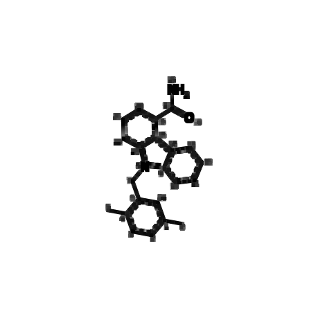 Cc1ccc(C)c(Cn2c3ccc[c]c3c3c(C(N)=O)cccc32)c1